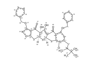 CN(Cc1cc(OCc2ccccc2)c2c(c1Cl)C[C@H]1C[C@H]3Cc4onc(OCc5ccccc5)c4C(=O)[C@@]3(O)C(O)=C1C2=O)C(C)(C)C